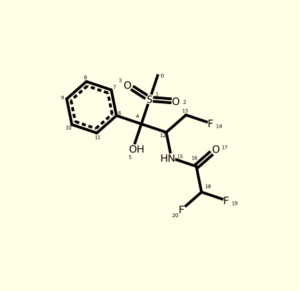 CS(=O)(=O)C(O)(c1ccccc1)C(CF)NC(=O)C(F)F